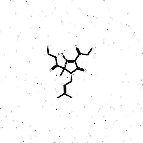 CC(C)=CC[C@@H]1C(=O)C(C(=O)CC(C)C)=C(O)C1(C)C(=O)CCC(C)C